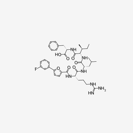 CC[C@H](C)[C@H](NC(=O)[C@H](CC(C)C)NC(=O)[C@H](CCCNC(=N)N)NC(=O)c1ccc(-c2cccc(F)c2)o1)C(=O)N[C@@H](Cc1ccccc1)C(=O)O